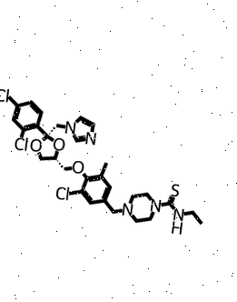 CCNC(=S)N1CCN(Cc2cc(C)c(OC[C@@H]3CO[C@@](Cn4ccnc4)(c4ccc(Cl)cc4Cl)O3)c(Cl)c2)CC1